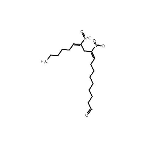 CCCCC/C=C(\C/C(=C\CCCCCCC[C]=O)[N+](=O)[O-])[N+](=O)[O-]